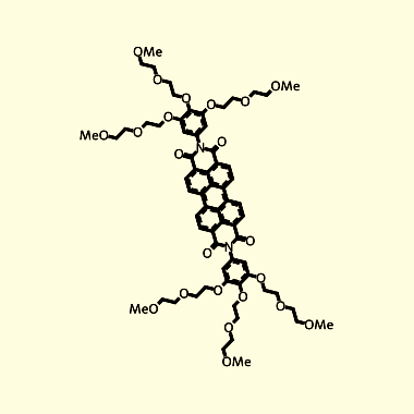 COCCOCCOc1cc(N2C(=O)c3ccc4c5ccc6c7c(ccc(c8ccc(c3c48)C2=O)c75)C(=O)N(c2cc(OCCOCCOC)c(OCCOCCOC)c(OCCOCCOC)c2)C6=O)cc(OCCOCCOC)c1OCCOCCOC